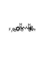 CC(C)S(=O)(=O)NCCCCC(=O)Nc1ccc(OC(F)(F)F)cc1